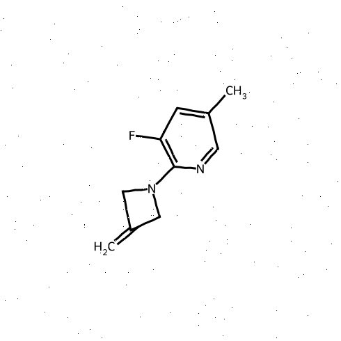 C=C1CN(c2ncc(C)cc2F)C1